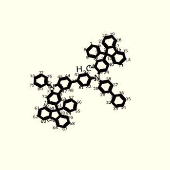 C[C@@H]1CC(C2(c3ccccc3)c3ccccc3-c3ccccc32)=CC=C1N(c1ccc(-c2ccccc2)cc1)c1ccc(-c2ccc3c(c2)c2cc(C4(c5ccccc5)c5ccccc5-c5ccccc54)ccc2n3-c2ccccc2)cc1